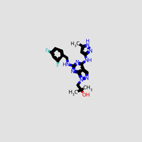 Cc1cc(Nc2nc(NCc3ccc(F)cc3F)nc3c2cnn3CC(C)(C)O)n[nH]1